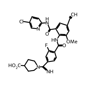 C#Cc1cc(OC)c(NC(=O)c2ccc(C(=N)N3CCC(C(=O)O)CC3)cc2F)c(C(=O)Nc2ccc(Cl)cn2)c1